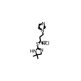 CC1(C)CN=C(SCCCn2ccnc2)N1.Cl.Cl